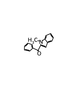 Cn1c(C(=O)c2ccccc2)cc2ccccc21